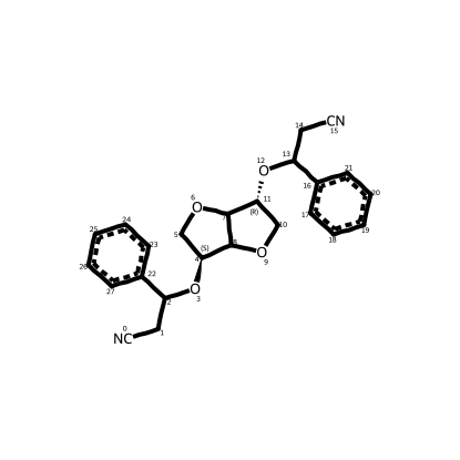 N#CCC(O[C@H]1COC2C1OC[C@H]2OC(CC#N)c1ccccc1)c1ccccc1